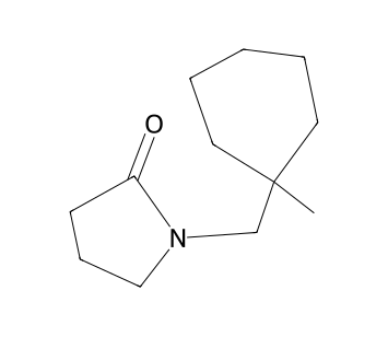 CC1(CN2CCCC2=O)CCCCC1